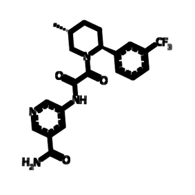 C[C@@H]1CC[C@@H](c2cccc(C(F)(F)F)c2)N(C(=O)C(=O)Nc2cncc(C(N)=O)c2)C1